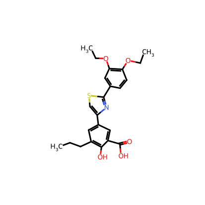 CCCc1cc(-c2csc(-c3ccc(OCC)c(OCC)c3)n2)cc(C(=O)O)c1O